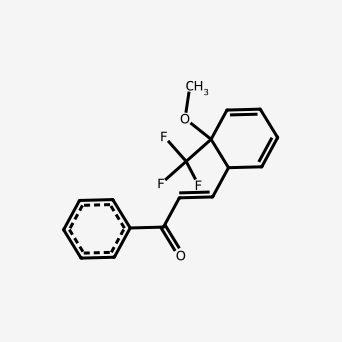 COC1(C(F)(F)F)C=CC=CC1C=CC(=O)c1ccccc1